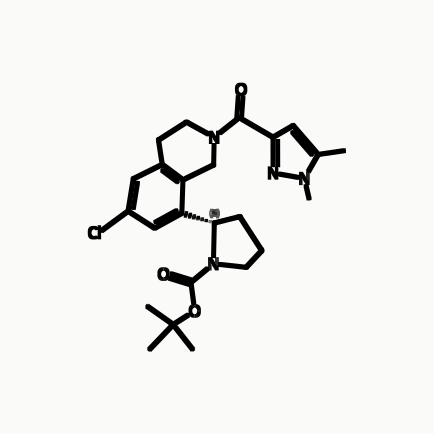 Cc1cc(C(=O)N2CCc3cc(Cl)cc([C@@H]4CCCN4C(=O)OC(C)(C)C)c3C2)nn1C